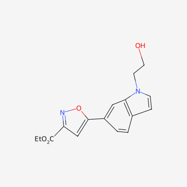 CCOC(=O)c1cc(-c2ccc3ccn(CCO)c3c2)on1